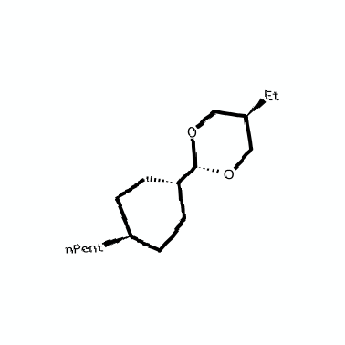 CCCCC[C@H]1CC[C@H]([C@H]2OC[C@H](CC)CO2)CC1